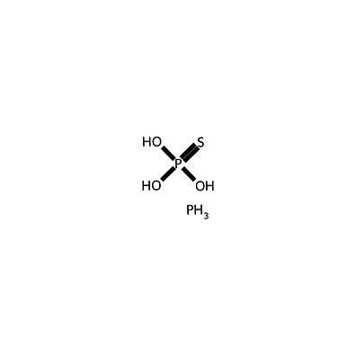 OP(O)(O)=S.P